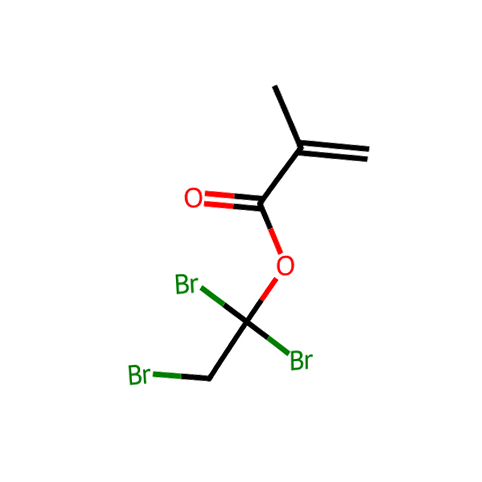 C=C(C)C(=O)OC(Br)(Br)CBr